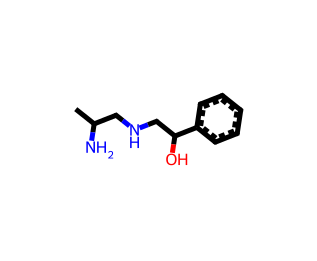 CC(N)CNCC(O)c1ccccc1